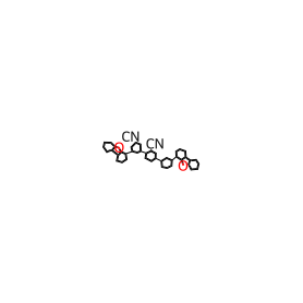 N#Cc1cc(-c2ccc(-c3cccc(-c4cccc5c4oc4ccccc45)c3)cc2C#N)cc(-c2cccc3c2oc2ccccc23)c1